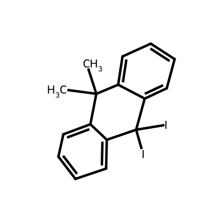 CC1(C)c2ccccc2C(I)(I)c2ccccc21